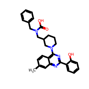 Cc1ccc2c(N3CCCC(CN(Cc4ccccc4)C(=O)O)C3)nc(-c3ccccc3O)nc2c1